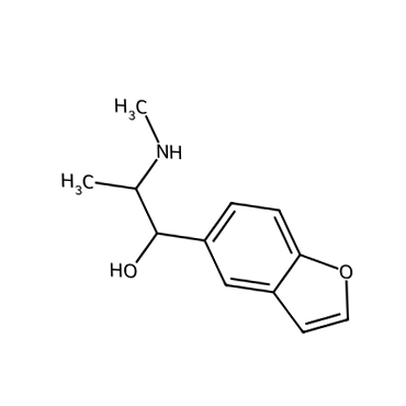 CNC(C)C(O)c1ccc2occc2c1